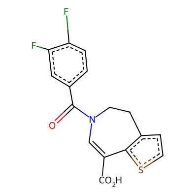 O=C(O)C1=CN(C(=O)c2ccc(F)c(F)c2)CCc2ccsc21